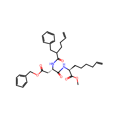 C=CCCCC[C@H](NC(=O)[C@H](CC(=O)OCc1ccccc1)NC(=O)C(CCC=C)Cc1ccccc1)C(=O)OC